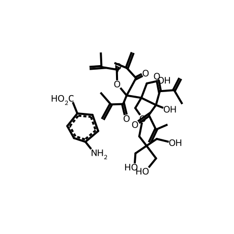 C=C(C)C(=O)OC(C(=O)C(=C)C)(C(=O)C(=C)C)C(CO)(COCC(CO)(CO)CO)C(O)(C(=O)C(=C)C)C(=O)C(=C)C.Nc1ccc(C(=O)O)cc1